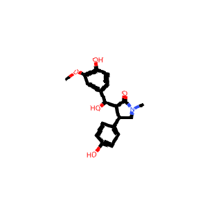 COc1cc(C(O)C2C(=O)N(C)CC2c2ccc(O)cc2)ccc1O